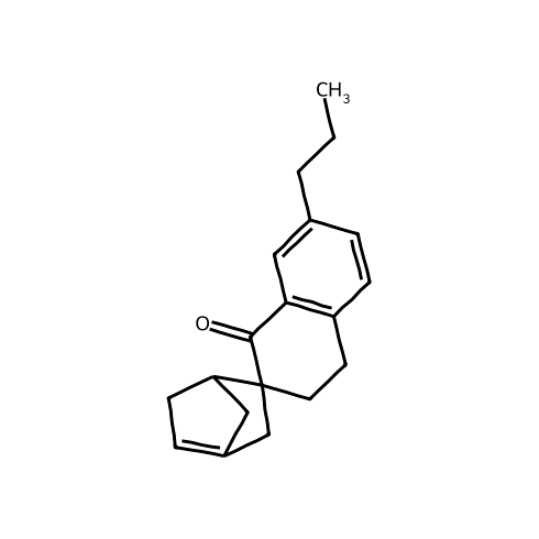 CCCc1ccc2c(c1)C(=O)C1(CC2)CC2=CCC1C2